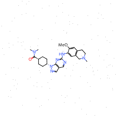 COc1cc2c(cc1Nc1ncc3cnn([C@H]4CC[C@H](C(=O)N(C)C)CC4)c3n1)CN(C)CC2